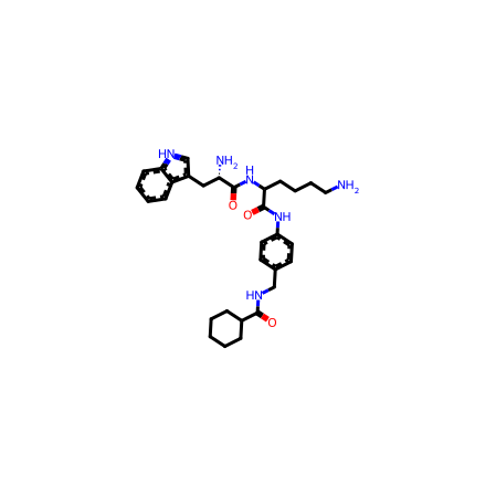 NCCCCC(NC(=O)[C@@H](N)Cc1c[nH]c2ccccc12)C(=O)Nc1ccc(CNC(=O)C2CCCCC2)cc1